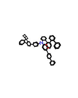 c1ccc(-c2ccc(-c3ccc(N(c4ccc(-c5ccc6c(c5)C5(CC7CCC75)c5ccccc5-6)cc4)c4ccccc4-c4ccccc4-c4ccccc4-c4ccccc4)cc3)cc2)cc1